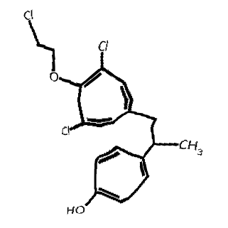 CC(Cc1cc(Cl)c(OCCCl)c(Cl)c1)c1ccc(O)cc1